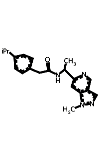 CC(C)c1ccc(CC(=O)NC(C)c2cc3c(cn2)cnn3C)cc1